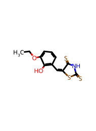 CCOc1cccc(C=C2SC(=S)NC2=S)c1O